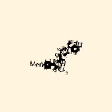 COc1ccc(-c2nc3c(C(=O)N4CCN([C@@H](CO)c5cccc(Cl)c5)C[C@H]4C)cnn3c(C(F)(F)F)c2C)cc1